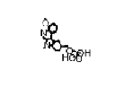 COc1cccc2c1ncc1c2c2c(n1C)CCC(COCP(=O)(O)O)C2